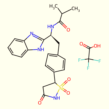 CC(C)C(=O)N[C@@H](Cc1ccc(C2CC(=O)NS2(=O)=O)cc1)c1nc2ccccc2[nH]1.O=C(O)C(F)(F)F